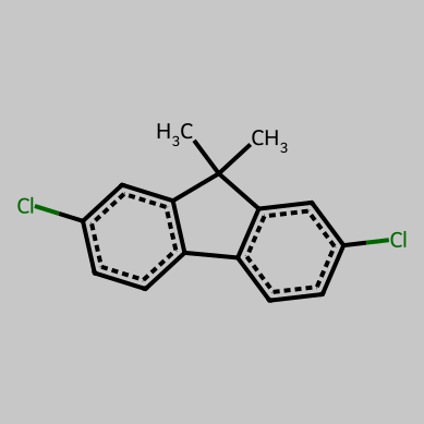 CC1(C)c2cc(Cl)ccc2-c2ccc(Cl)cc21